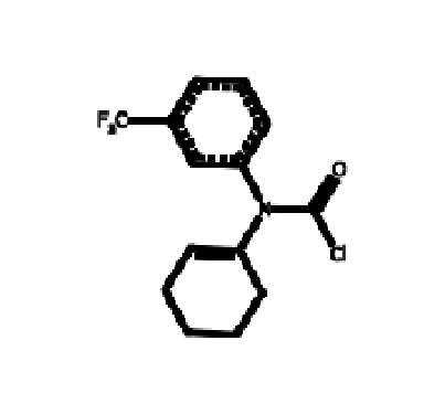 O=C(Cl)N(C1=CCCCC1)c1cccc(C(F)(F)F)c1